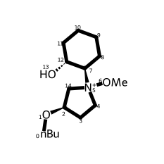 CCCCO[C@@H]1CC[N+](OC)([C@@H]2CCCC[C@H]2O)C1